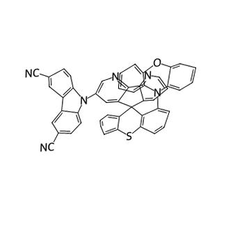 N#Cc1ccc2c(c1)c1cc(C#N)ccc1n2-c1cnc2c(c1)C1(c3ccccc3Sc3cccc(N4c5ccccc5Oc5ccccc54)c31)c1cccnc1-2